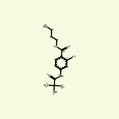 CC(O)(C(=O)Nc1ccc(C(=O)OCCCO)c(F)c1)C(F)(F)F